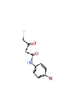 O=C(CF)CC(=O)Nc1ccc(Br)cc1